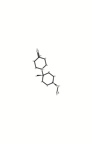 CCO[C@H]1CC[C@](C)(N2CCC(=O)CC2)CC1